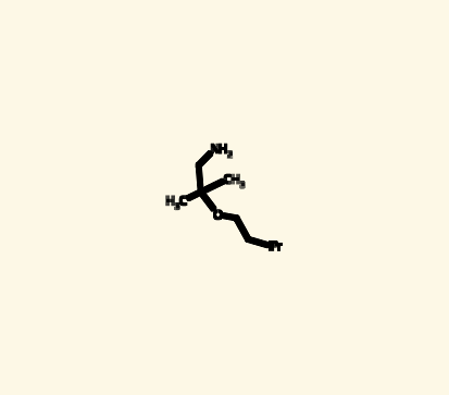 CC(C)CCOC(C)(C)CN